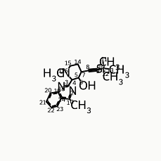 Cc1nc(C2C(O)C(C#C[Si](C)(C)C)CCN2C)nc2ccccc12